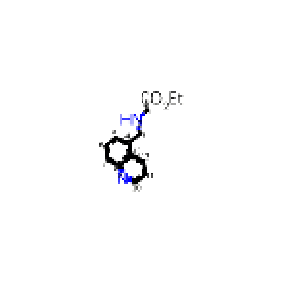 CCOC(=O)CNCc1cccc2ncccc12